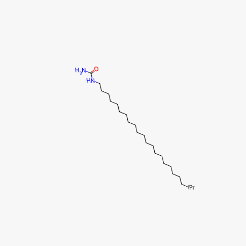 CC(C)CCCCCCCCCCCCCCCCCCCCNC(N)=O